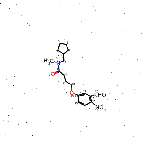 CN(CC1CCCC1)C(=O)CCCOc1ccc([N+](=O)[O-])c(C=O)c1